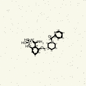 NC1=NS(O)(O)Nc2cccc(OC[C@H]3CCCN(C(=O)c4ccccn4)C3)c21